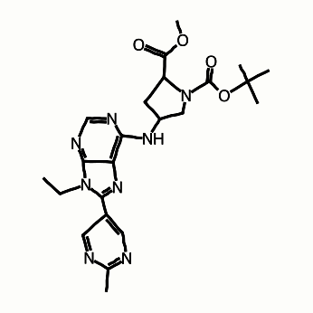 CCn1c(-c2cnc(C)nc2)nc2c(NC3CC(C(=O)OC)N(C(=O)OC(C)(C)C)C3)ncnc21